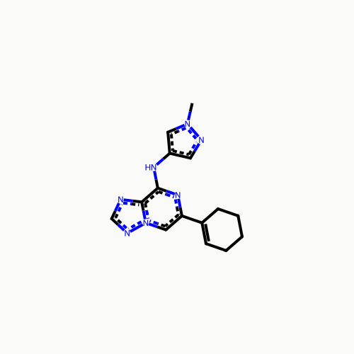 Cn1cc(Nc2nc(C3=CCCCC3)cn3ncnc23)cn1